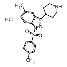 Cc1ccc(S(=O)(=O)n2nc(C3CCNCC3)c3cc(C)ccc32)cc1.Cl